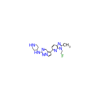 Cc1nc2ccc(-c3ccn4nc(NC5CCNCC5)ncc34)nc2n1CCF